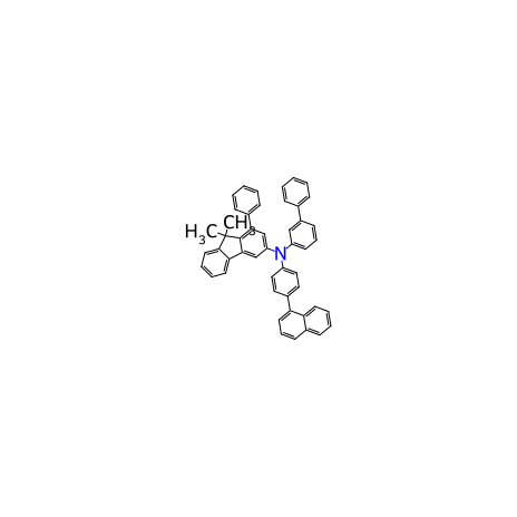 CC1(C)c2ccccc2-c2cc(N(c3ccc(-c4cccc5ccccc45)cc3)c3cccc(-c4ccccc4)c3)cc(-c3ccccc3)c21